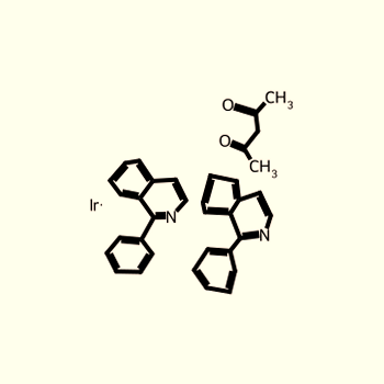 CC(=O)CC(C)=O.[Ir].c1ccc(-c2nccc3ccccc23)cc1.c1ccc(-c2nccc3ccccc23)cc1